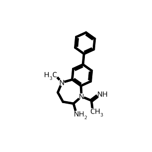 CC(=N)N1c2ccc(-c3ccccc3)cc2N(C)CCC1N